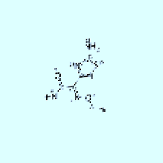 CCO/N=C(/C([NH])=O)c1csc(N)n1